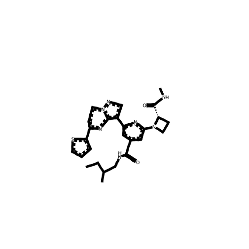 CCC(C)CNC(=O)c1cc(-c2cnn3ccc(-c4cccs4)nc23)nc(N2CC[C@H]2C(=O)NC)c1